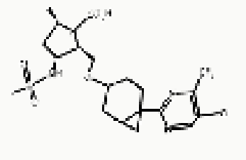 C[C@@H]1C[C@H](NS(C)(=O)=O)[C@H](COC2CCC3(c4ncc(Cl)c(C(F)(F)F)n4)CC3C2)N1C(=O)O